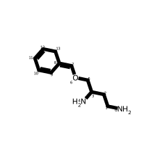 NCCC(N)COC=C1C=CC=CC1